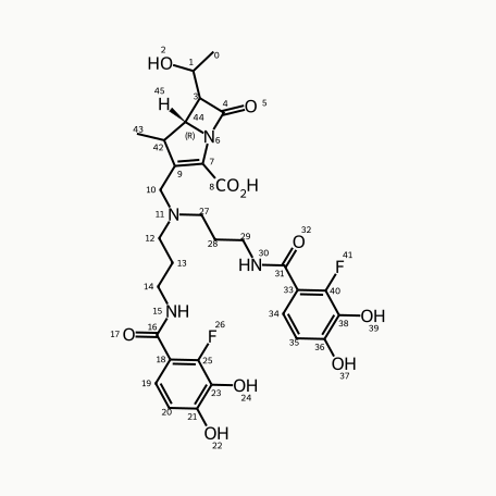 CC(O)C1C(=O)N2C(C(=O)O)=C(CN(CCCNC(=O)c3ccc(O)c(O)c3F)CCCNC(=O)c3ccc(O)c(O)c3F)C(C)[C@H]12